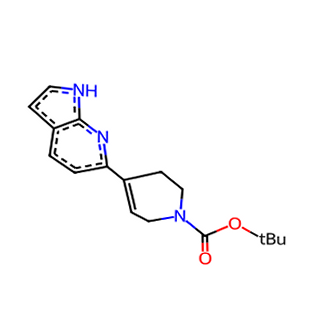 CC(C)(C)OC(=O)N1CC=C(c2ccc3cc[nH]c3n2)CC1